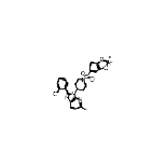 Cc1ccc2nc(-c3ccccc3Cl)n(C3CCN(S(=O)(=O)c4ccc5c(c4)OC(F)(F)O5)CC3)c2n1